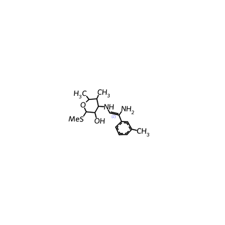 CSC1OC(C)C(C)C(N/C=C(\N)c2cccc(C)c2)C1O